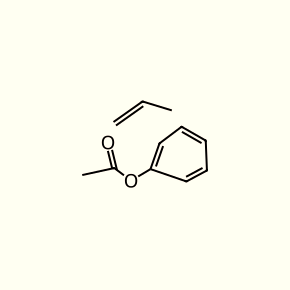 C=CC.CC(=O)Oc1ccccc1